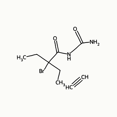 C#C.CCC(Br)(CC)C(=O)NC(N)=O